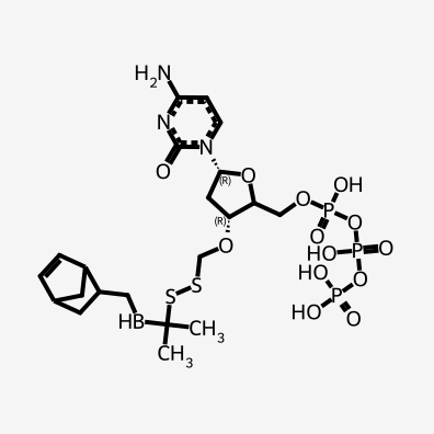 CC(C)(BCC1CC2C=CC1C2)SSCO[C@@H]1C[C@H](n2ccc(N)nc2=O)OC1COP(=O)(O)OP(=O)(O)OP(=O)(O)O